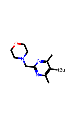 Cc1nc(CN2CCOCC2)nc(C)c1C(C)(C)C